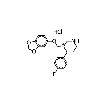 Cl.Fc1ccc(C2CCNC[C@H]2COc2ccc3c(c2)OCO3)cc1